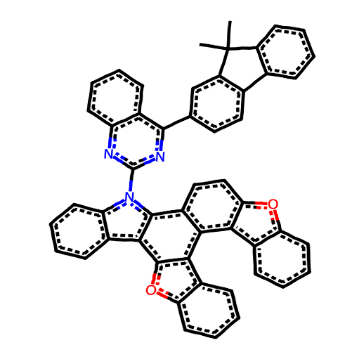 CC1(C)c2ccccc2-c2ccc(-c3nc(-n4c5ccccc5c5c6oc7ccccc7c6c6c(ccc7oc8ccccc8c76)c54)nc4ccccc34)cc21